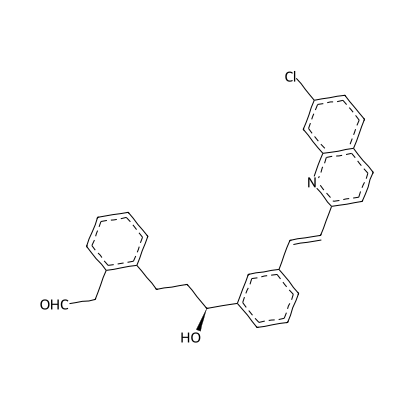 O=CCc1ccccc1CC[C@H](O)c1cccc(C=Cc2ccc3ccc(Cl)cc3n2)c1